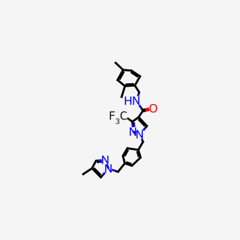 Cc1ccc(CNC(=O)c2cn(Cc3ccc(Cn4cc(C)cn4)cc3)nc2C(F)(F)F)c(C)c1